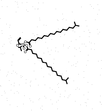 C=C[C](=O)[Ti](=[O])([O]C(=O)CCCCCCCCCCCCCCC(C)C)([O]C(=O)CCCCCCCCCCCCCCC(C)C)[CH](C)C